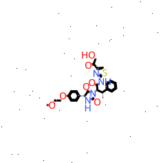 COCCOc1ccc([C@H]2NC(=O)N([C@H](C(=O)Nc3nc(C(=O)CO)cs3)[C@@H](C)c3ccccc3)C2=O)cc1